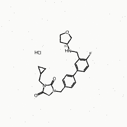 Cl.O=C1CN(Cc2ccc(-c3ccc(F)c(CN[C@H]4CCOC4)c3)cc2)C(=O)N1CC1CC1